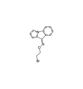 BrCCON=C1c2ccccc2-n2cccc21